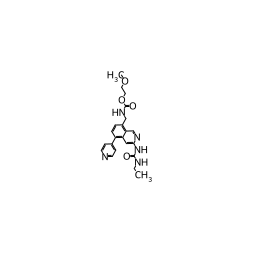 CCNC(=O)Nc1cc2c(-c3ccncc3)ccc(CNC(=O)OCCOC)c2cn1